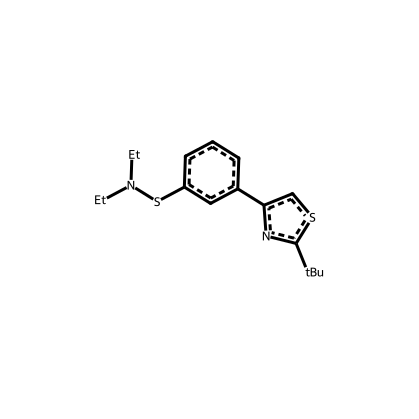 CCN(CC)Sc1cccc(-c2csc(C(C)(C)C)n2)c1